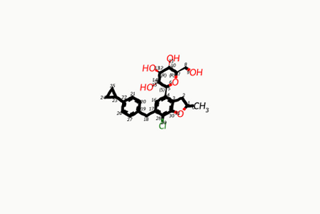 CC1Cc2c([C@@H]3O[C@H](CO)[C@@H](O)[C@H](O)[C@H]3O)cc(Cc3ccc(C4CC4)cc3)c(Cl)c2O1